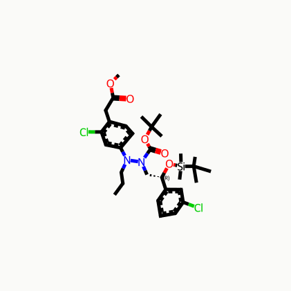 CCCN(c1ccc(CC(=O)OC)c(Cl)c1)N(C[C@H](O[Si](C)(C)C(C)(C)C)c1cccc(Cl)c1)C(=O)OC(C)(C)C